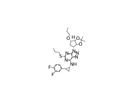 CCCO[C@H]1C[C@@H](n2nnc3c(N[C@@H]4CC4c4ccc(F)c(F)c4)nc(SCCC)nc32)C2OC(C)(C)O[C@@H]21